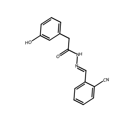 N#Cc1ccccc1/C=N/NC(=O)Cc1cccc(O)c1